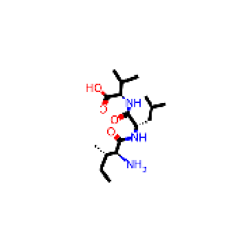 CC[C@H](C)[C@H](N)C(=O)N[C@@H](CC(C)C)C(=O)N[C@H](C(=O)O)C(C)C